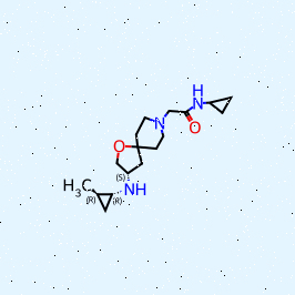 C[C@@H]1C[C@H]1N[C@@H]1COC2(CCN(CC(=O)NC3CC3)CC2)C1